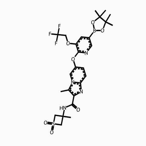 Cc1c(C(=O)NC2(C)CS(=O)(=O)C2)nc2ccc(Oc3ncc(B4OC(C)(C)C(C)(C)O4)cc3OCC(F)(F)F)cn12